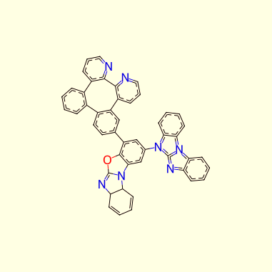 C1=CC2N=C3Oc4c(-c5ccc6c(c5)-c5cccnc5-c5ncccc5-c5ccccc5-6)cc(-n5c6ccccc6n6c7ccccc7nc56)cc4N3C2C=C1